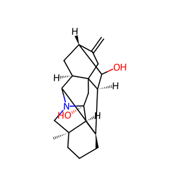 C=C1CC23C[C@@]4(O)[C@@H]5[C@@]6(C)CCC[C@]57C([C@H]2C[C@H]1C(O)[C@H]37)N4C6